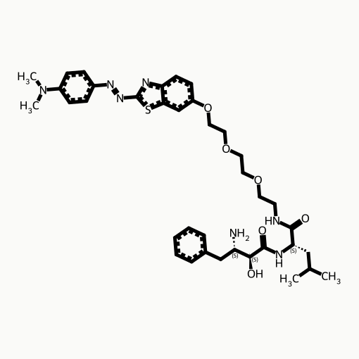 CC(C)C[C@H](NC(=O)[C@@H](O)[C@@H](N)Cc1ccccc1)C(=O)NCCOCCOCCOc1ccc2nc(N=Nc3ccc(N(C)C)cc3)sc2c1